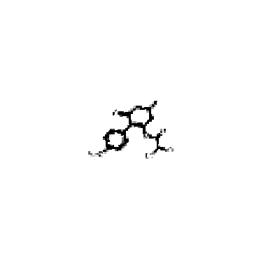 CCCCC(CC)C(=O)OC1=C(c2ccc(OC)cc2)C(=O)CC(C)C1